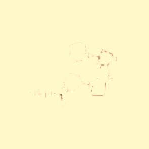 CCCCCCCC(=O)N1CCCC(N2CCCC(Nc3nccc(N4CCCCCC4)n3)C2)C1